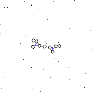 c1ccc(-n2c3ccc(-c4ccc(-c5ccc6c(c5)c5ccccc5n6-c5ccc6ccccc6c5)cc4)cc3c3ccc4ccccc4c32)cc1